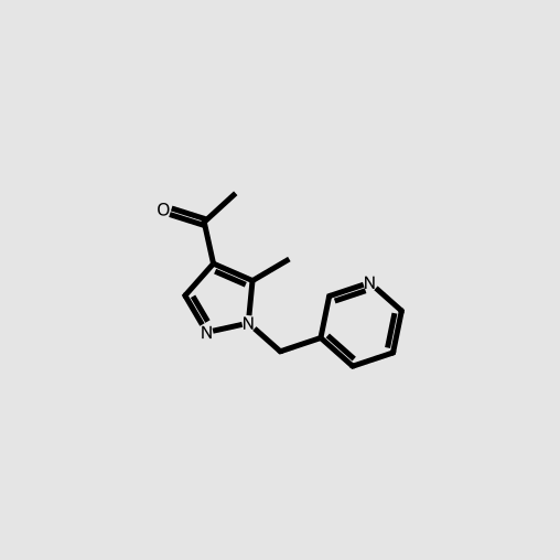 CC(=O)c1cnn(Cc2cccnc2)c1C